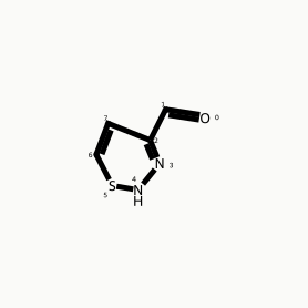 O=CC1=NNSC=C1